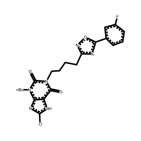 CCCCn1c(=O)n(CCCCc2noc(-c3cccc(F)c3)n2)c(=O)c2[nH]c(Cl)nc21